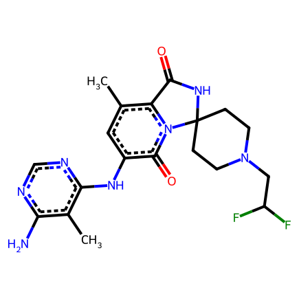 Cc1cc(Nc2ncnc(N)c2C)c(=O)n2c1C(=O)NC21CCN(CC(F)F)CC1